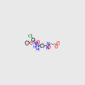 COC(=O)CCCc1nc(-c2ccc(NC(=O)Nc3ccc(Cl)cc3Oc3ccccc3)cc2)no1